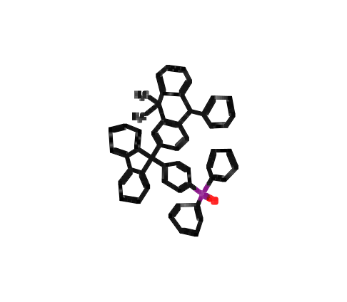 CC1(C)c2ccccc2C(c2ccccc2)c2ccc(C3(c4ccc(P(=O)(c5ccccc5)c5ccccc5)cc4)c4ccccc4-c4ccccc43)cc21